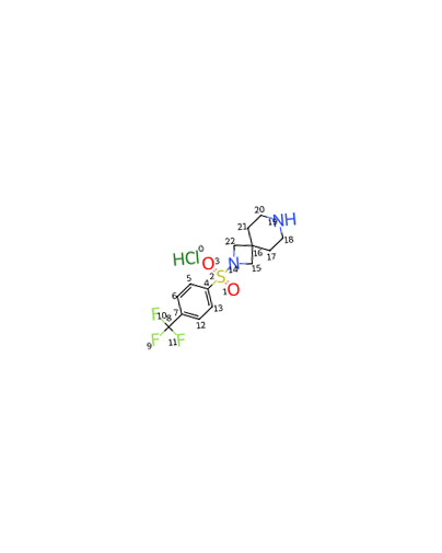 Cl.O=S(=O)(c1ccc(C(F)(F)F)cc1)N1CC2(CCNCC2)C1